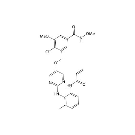 C=CC(=O)Nc1cccc(C)c1Nc1ncc(OCc2cc(C(=O)NOC)cc(OC)c2Cl)cn1